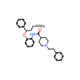 CNCCC(Oc1ccccc1NC(=O)C1CCN(CCc2ccccc2)CC1)c1ccccc1